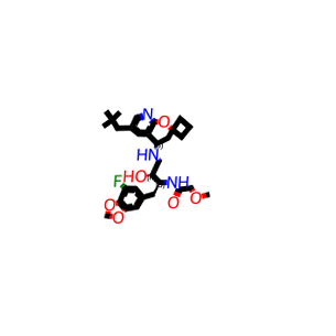 COCC(=O)N[C@@H](Cc1cc(F)c2c(c1)OCO2)[C@H](O)CN[C@H]1CC2(CCC2)Oc2ncc(CC(C)(C)C)cc21